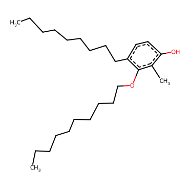 CCCCCCCCCCOc1c(CCCCCCCCC)ccc(O)c1C